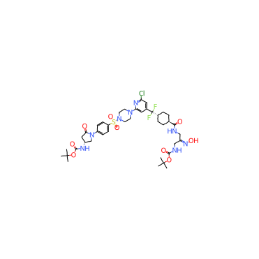 CC(C)(C)OC(=O)NC/C(CNC(=O)[C@H]1CC[C@H](C(F)(F)c2cc(Cl)nc(N3CCN(S(=O)(=O)c4ccc(N5C[C@H](NC(=O)OC(C)(C)C)CC5=O)cc4)CC3)c2)CC1)=N/O